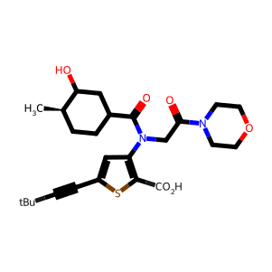 C[C@@H]1CCC(C(=O)N(CC(=O)N2CCOCC2)c2cc(C#CC(C)(C)C)sc2C(=O)O)CC1O